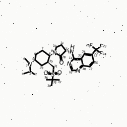 CC(C)N(C)[C@@H]1CC[C@H](N2CC[C@H](Nc3ncnc4ccc(C(F)(F)F)cc34)C2=O)[C@@H](CS(=O)(=O)C(C)(C)C)C1